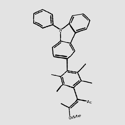 CO/C(C)=C(\C(C)=O)c1c(C)c(C)c(-c2ccc3c(c2)c2ccccc2n3-c2ccccc2)c(C)c1C